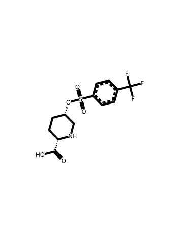 O=C(O)[C@@H]1CC[C@H](OS(=O)(=O)c2ccc(C(F)(F)F)cc2)CN1